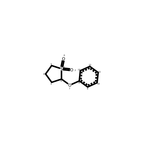 O=S1(=O)CCCC1Oc1ccccc1